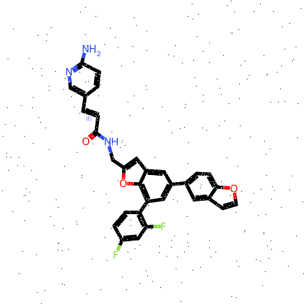 Nc1ccc(/C=C/C(=O)NCc2cc3cc(-c4ccc5occc5c4)cc(-c4ccc(F)cc4F)c3o2)cn1